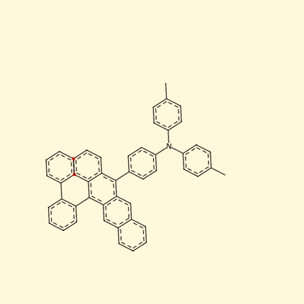 Cc1ccc(N(c2ccc(C)cc2)c2ccc(-c3c4ccccc4c(-c4ccccc4-c4ccccc4)c4cc5ccccc5cc34)cc2)cc1